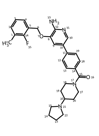 Cc1cccc(COc2cc(-c3ccc(C(=O)N4CCC(N5CCCC5)CC4)cc3)cnc2N)c1F